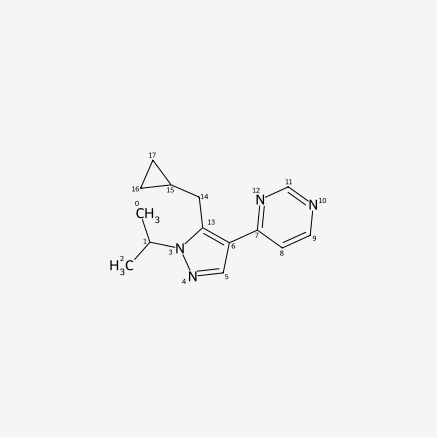 CC(C)n1ncc(-c2ccncn2)c1CC1CC1